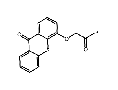 CC(C)C(=O)COc1cccc2c(=O)c3ccccc3sc12